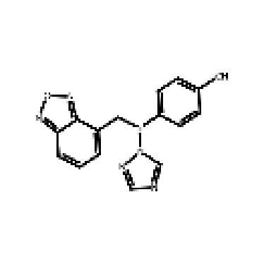 N#Cc1ccc(N(Cc2cccc3nonc23)n2cncn2)cc1